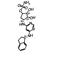 NS(=O)(=O)OC1C[C@@H](Nc2cc(N[C@H]3CCc4ccccc43)ncn2)[C@H](O)[C@@H]1O